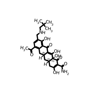 CC(=O)c1cc(CNCC(C)(C)C)c(O)c2c1C[C@H]1C[C@H]3CC(O)=C(C(N)=O)C(=O)[C@@]3(O)C(O)=C1C2=O